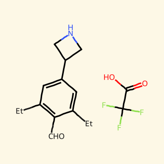 CCc1cc(C2CNC2)cc(CC)c1C=O.O=C(O)C(F)(F)F